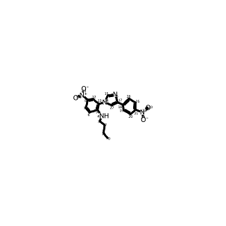 CCCCNc1ccc([N+](=O)[O-])cc1-n1cnc(-c2ccc([N+](=O)[O-])cc2)c1